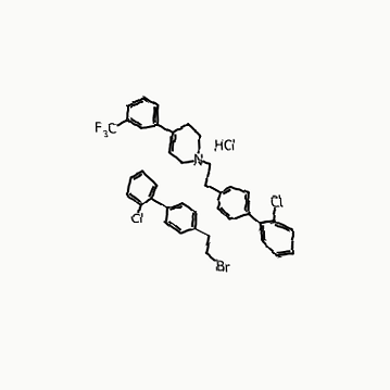 Cl.Clc1ccccc1-c1ccc(CCBr)cc1.FC(F)(F)c1cccc(C2=CCN(CCc3ccc(-c4ccccc4Cl)cc3)CC2)c1